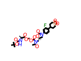 CC(=O)N(C[C@H]1CN(c2ccc(C3CCS(=O)(=O)CC3)c(F)c2)C(=O)O1)C(=O)OCOC(=O)[C@H](C)NC(=O)OC(C)(C)C